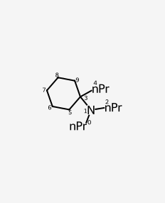 CCCN(CCC)C1(CCC)CCCCC1